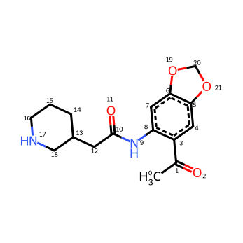 CC(=O)c1cc2c(cc1NC(=O)CC1CCCNC1)OCO2